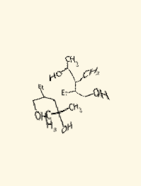 CCC(CO)C(C)C(C)O.CCC(CO)CC(C)(C)O